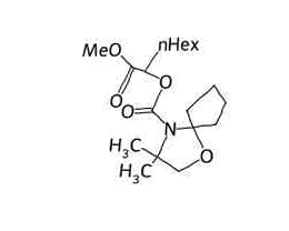 CCCCCCC(OC(=O)N1C(C)(C)COC12CCCC2)C(=O)OC